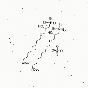 CCCCCCCCCCCCCCCCCCOCC(O)C[N+](CC)(CC)CC.CCCCCCCCCCCCCCCCCCOCC(O)C[N+](CC)(CC)CC.O=S(=O)([O-])[O-]